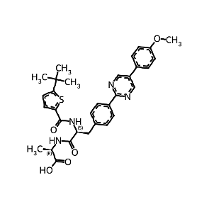 COc1ccc(-c2cnc(-c3ccc(C[C@H](NC(=O)c4ccc(C(C)(C)C)s4)C(=O)N[C@H](C)C(=O)O)cc3)nc2)cc1